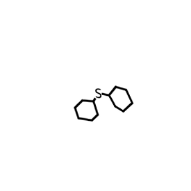 C1CCC(SC2CCCCC2)CC1